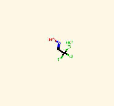 Cl.ON=CC(Cl)(Cl)Cl